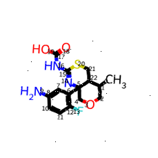 CC1COCC2(c3cc(N)ccc3F)N=C(NC(=O)O)SCC12